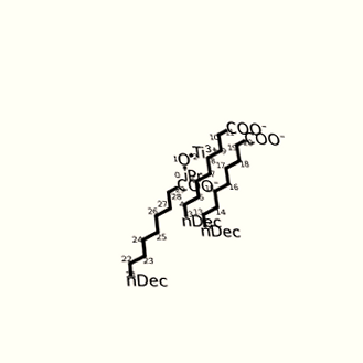 CC(C)[O][Ti+3].CCCCCCCCCCCCCCCCCC(=O)[O-].CCCCCCCCCCCCCCCCCC(=O)[O-].CCCCCCCCCCCCCCCCCC(=O)[O-]